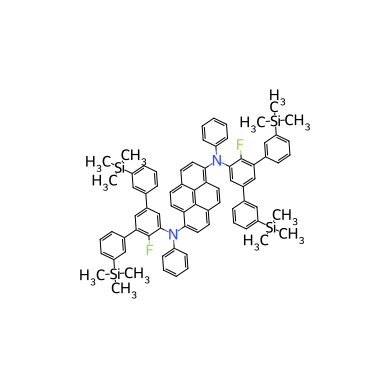 C[Si](C)(C)c1cccc(-c2cc(-c3cccc([Si](C)(C)C)c3)c(F)c(N(c3ccccc3)c3ccc4ccc5c(N(c6ccccc6)c6cc(-c7cccc([Si](C)(C)C)c7)cc(-c7cccc([Si](C)(C)C)c7)c6F)ccc6ccc3c4c65)c2)c1